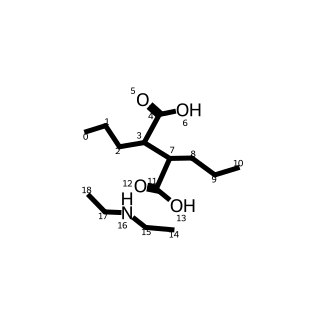 CCCC(C(=O)O)C(CCC)C(=O)O.CCNCC